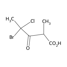 CC(C(=O)O)C(=O)C(C)(Cl)Br